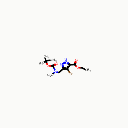 CCOC(=O)c1[nH]nc(CN(C)C(=O)OC(C)(C)C)c1Br